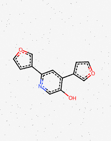 Oc1cnc(-c2ccoc2)cc1-c1ccoc1